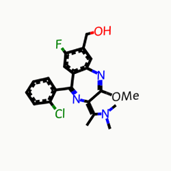 COC1=Nc2cc(CO)c(F)cc2C(c2ccccc2Cl)=N/C1=C(\C)N(C)C